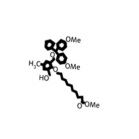 COC(=O)CCCCCCCCCCOc1c(CO)cc(C)cc1COC(c1ccccc1)(c1ccc(OC)cc1)c1ccc(OC)cc1